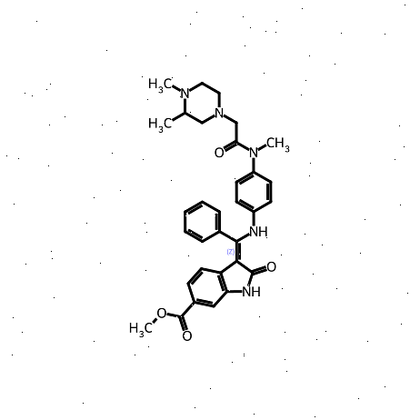 COC(=O)c1ccc2c(c1)NC(=O)/C2=C(\Nc1ccc(N(C)C(=O)CN2CCN(C)C(C)C2)cc1)c1ccccc1